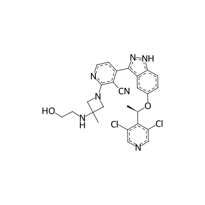 C[C@@H](Oc1ccc2[nH]nc(-c3ccnc(N4CC(C)(NCCO)C4)c3C#N)c2c1)c1c(Cl)cncc1Cl